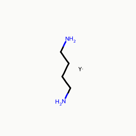 NCCCCN.[Y]